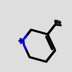 CCC1=CCC[N]C1